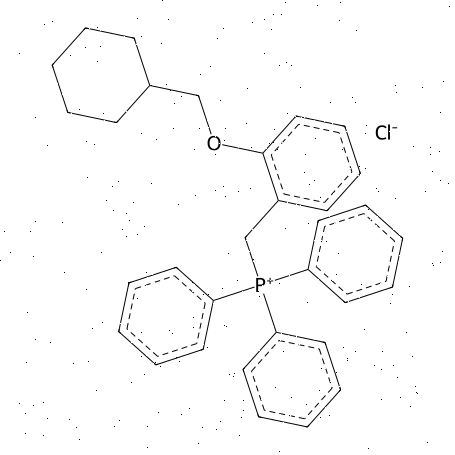 [Cl-].c1ccc([P+](Cc2ccccc2OCC2CCCCC2)(c2ccccc2)c2ccccc2)cc1